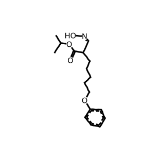 CC(C)OC(=O)C(/C=N\O)CCCCCOc1ccccc1